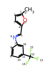 Cc1ccc(C=Nc2cccc(C(F)(F)F)c2)o1